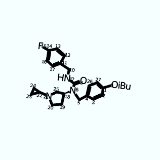 CC(C)COc1ccc(CN(C(=O)NCc2ccc(F)cc2)[C@H]2CCN(C3CC3)C2)cc1